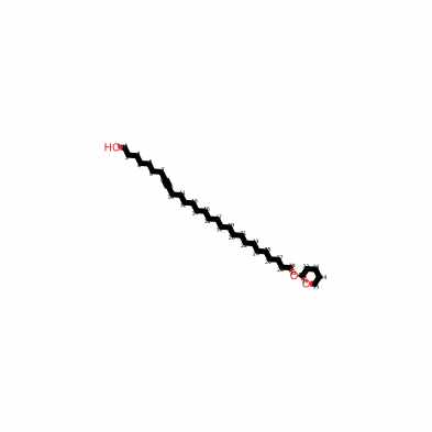 OCCCCCCCC#CCCCCCCCCCCCCCCCCCCCCO[C@H]1CCCCO1